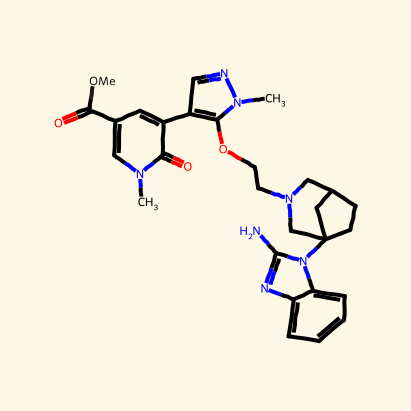 COC(=O)c1cc(-c2cnn(C)c2OCCN2CC3CCC(n4c(N)nc5ccccc54)(C3)C2)c(=O)n(C)c1